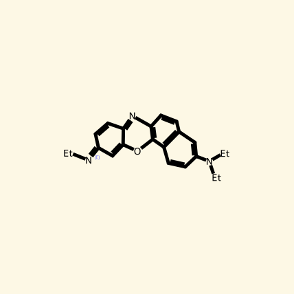 CC/N=c1\ccc2nc3ccc4cc(N(CC)CC)ccc4c3oc-2c1